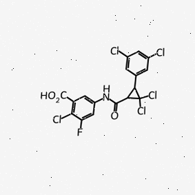 O=C(O)c1cc(NC(=O)C2C(c3cc(Cl)cc(Cl)c3)C2(Cl)Cl)cc(F)c1Cl